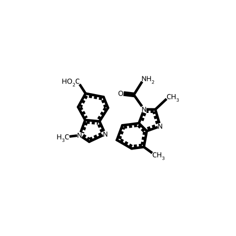 Cc1cccc2c1nc(C)n2C(N)=O.Cn1cnc2ccc(C(=O)O)cc21